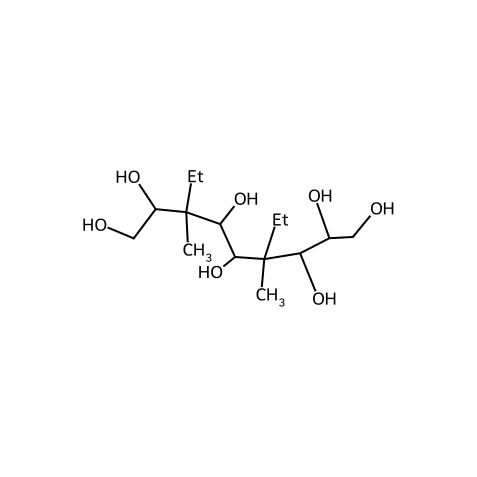 CCC(C)(C(O)CO)C(O)C(O)C(C)(CC)C(O)C(O)CO